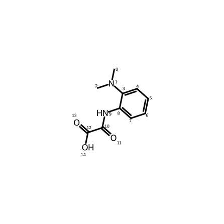 CN(C)c1ccccc1NC(=O)C(=O)O